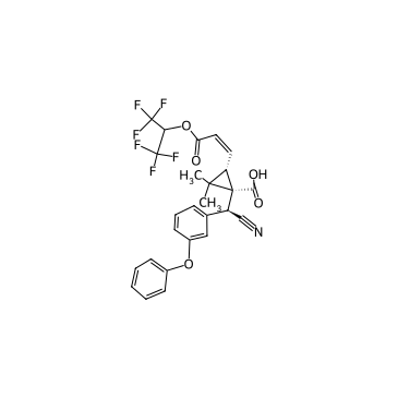 CC1(C)[C@H](/C=C\C(=O)OC(C(F)(F)F)C(F)(F)F)[C@@]1(C(=O)O)[C@@H](C#N)c1cccc(Oc2ccccc2)c1